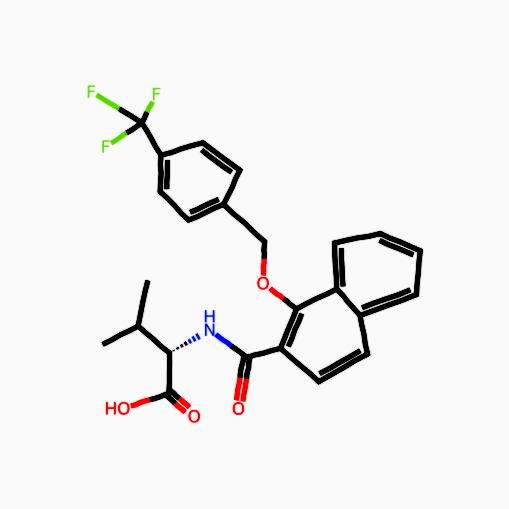 CC(C)[C@H](NC(=O)c1ccc2ccccc2c1OCc1ccc(C(F)(F)F)cc1)C(=O)O